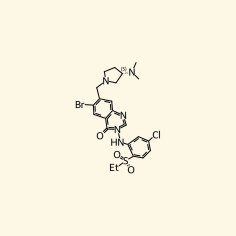 CCS(=O)(=O)c1ccc(Cl)cc1Nn1cnc2cc(CN3CC[C@H](N(C)C)C3)c(Br)cc2c1=O